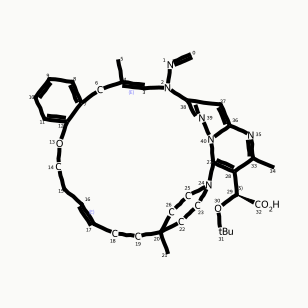 C=NN1/C=C(\C)Cc2ccccc2OCC/C=C/CCC2(C)CCN(CC2)c2c([C@H](OC(C)(C)C)C(=O)O)c(C)nc3cc1nn23